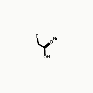 O=C(O)CF.[Ni]